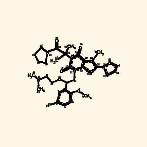 COc1ccc(F)cc1C(Cn1c(=O)n(C(C)(C)C(=O)N2CCCC2)c(=O)c2c(C)c(-n3nccn3)sc21)OCCN(C)C